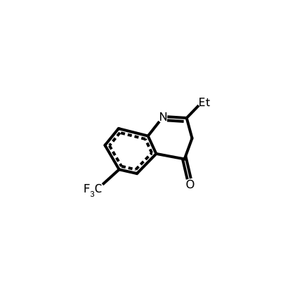 CCC1=Nc2ccc(C(F)(F)F)cc2C(=O)C1